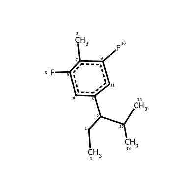 CCC(c1cc(F)c(C)c(F)c1)C(C)C